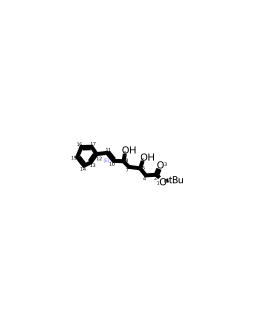 CC(C)(C)OC(=O)CC(O)CC(O)/C=C/c1ccccc1